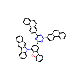 c1ccc2cc3c(cc2c1)c1ccccc1n3-c1cc(-c2nc(-c3ccc4c(ccc5ccccc54)c3)nc(-c3ccc4c(ccc5ccccc54)c3)n2)cc2c1oc1ccccc12